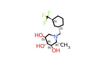 C[C@@H]1[C@@H](O)[C@H](O)[C@@H](O)CN1C[C@H]1CCC[C@H](C(F)(F)F)C1